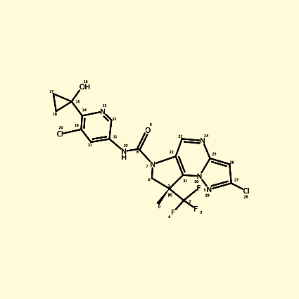 C[C@@]1(C(F)(F)F)CN(C(=O)Nc2cnc(C3(O)CC3)c(Cl)c2)c2cnc3cc(Cl)nn3c21